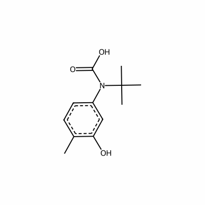 Cc1ccc(N(C(=O)O)C(C)(C)C)cc1O